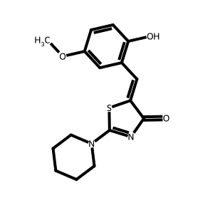 COc1ccc(O)c(/C=C2\SC(N3CCCCC3)=NC2=O)c1